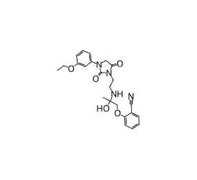 CCOc1cccc(N2CC(=O)N(CCNC(C)(O)COc3ccccc3C#N)C2=O)c1